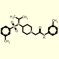 Cc1cccc(NC(=O)CN2CCC(N(C(C)C)S(=O)(=O)c3cccc(C)c3)CC2)c1